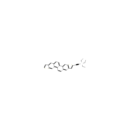 CC[Si](C#Cc1cc2cc3ccc4c5cc6sccc6cc5ccc4c3cc2s1)(CC)CC